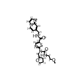 COCCNC(=O)N(CC1CCCO1)c1ncc(C(=O)NCc2ccn3ccnc3c2)s1